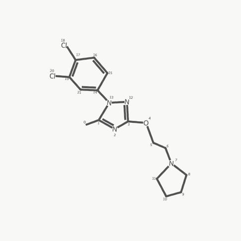 Cc1nc(OCCN2CCCC2)nn1-c1ccc(Cl)c(Cl)c1